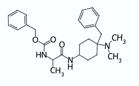 CC(NC(=O)OCc1ccccc1)C(=O)NC1CCC(Cc2ccccc2)(N(C)C)CC1